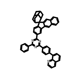 c1ccc(-c2nc(-c3ccc(-c4cccc5cccnc45)cc3)nc(-c3ccc4c(c3)-c3cc5ccccc5cc3C43C4CC5CC(C4)CC3C5)n2)cc1